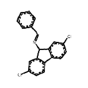 Clc1ccc2c(c1)C(N=Cc1ccccc1)c1cc(Cl)ccc1-2